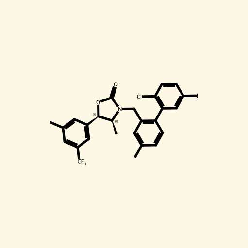 Cc1cc([C@H]2OC(=O)N(Cc3cc(C)ccc3-c3cc(I)ccc3Cl)[C@H]2C)cc(C(F)(F)F)c1